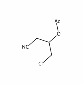 CC(=O)OC(CCl)CC#N